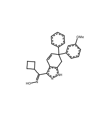 COc1cccc(C2(c3ccccc3)C=Cc3c(/C(=N/O)C4CCC4)n[nH]c3C2)c1